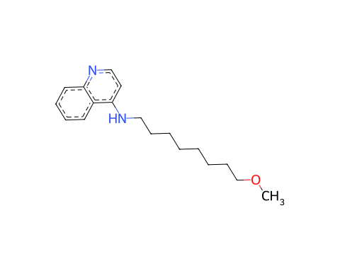 COCCCCCCCCNc1ccnc2ccccc12